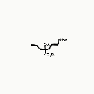 C=CCC(CC=CCCCCCCCCC)(C(=O)OCC)C(=O)OCC